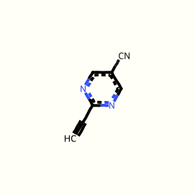 C#Cc1ncc(C#N)cn1